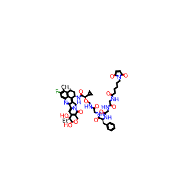 CC[C@]1(O)c2cc3n(c(=O)c2COC1O)Cc1c-3nc2cc(F)c(C)c3c2c1[C@@H](NC(=O)[C@H](OCNC(=O)CNC(=O)[C@H](Cc1ccccc1)NC(=O)CNC(=O)CNC(=O)CCCCCN1C(=O)C=CC1=O)C1CC1)CC3